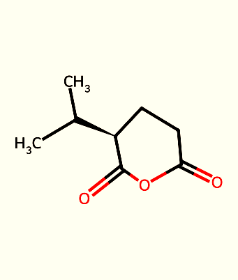 CC(C)[C@H]1CCC(=O)OC1=O